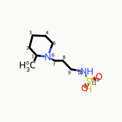 CC1CCCCN1CCCN[SH](=O)=O